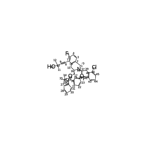 C[C@H]1c2ccc(F)c(C#CC(C)(C)O)c2C[C@H](CO[Si](c2ccccc2)(c2ccccc2)C(C)(C)C)N1C(=O)Cc1c(F)cccc1Cl